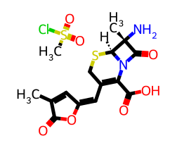 CC1=C/C(=C\C2=C(C(=O)O)N3C(=O)[C@@](C)(N)[C@@H]3SC2)OC1=O.CS(=O)(=O)Cl